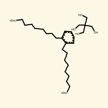 CCCCCCCCCCCCCCCCCCc1ccccc1CCCCCCCCCCCCCCCCCC.OCC(CO)(CO)CO